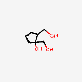 OCC1CC=CC1(O)CO